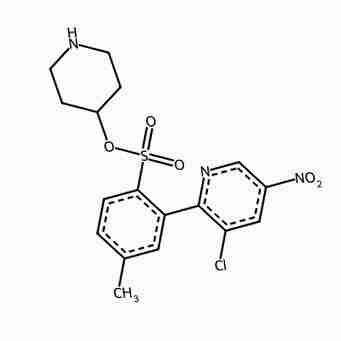 Cc1ccc(S(=O)(=O)OC2CCNCC2)c(-c2ncc([N+](=O)[O-])cc2Cl)c1